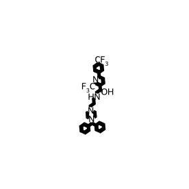 O[C@H](CNCCCN1CCN(C(c2ccccc2)c2ccccc2)CC1)c1ccc(-c2ccc(C(F)(F)F)cc2)nc1C(F)(F)F